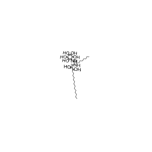 CCCCCCCCCCCCCC[C@@H](O)[C@@H](O)[C@H](CN[C@H]1[C@H](O)[C@H](O)[C@@H](O)[C@H](O)[C@H]1O)NC(=O)CCCCCCC